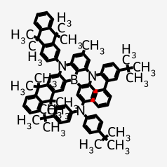 Cc1cc2c3c(c1)N(c1ccc(C(C)(C)C)cc1-c1ccccc1)c1ccc(N(c4ccc(C(C)(C)C)cc4)c4ccc(C(C)(C)C)cc4)cc1B3c1cc3c(cc1N2c1ccc2c(c1)C(C)(C)c1ccccc1C2(C)C)C(C)(C)c1ccccc1C3(C)C